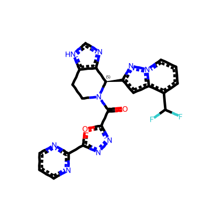 O=C(c1nnc(-c2ncccn2)o1)N1CCc2[nH]cnc2[C@H]1c1cc2c(C(F)F)cccn2n1